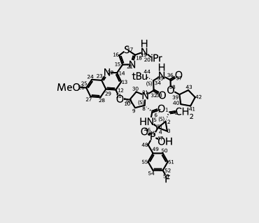 C=C[C@@H]1C[C@]1(NC(=O)[C@@H]1C[C@@H](Oc2cc(-c3csc(NC(C)C)n3)nc3cc(OC)ccc23)CN1C(=O)[C@@H](NC(=O)OC1CCCC1)C(C)(C)C)P(=O)(O)Cc1ccc(F)cc1